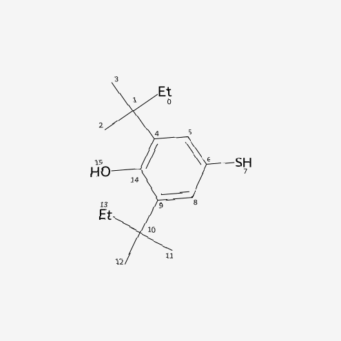 CCC(C)(C)c1cc(S)cc(C(C)(C)CC)c1O